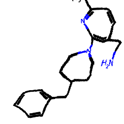 Cc1ccc(CN)c(N2CCC(Cc3ccccc3)CC2)n1